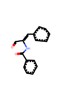 O=C/C(=C/c1ccccc1)NC(=O)c1ccccc1